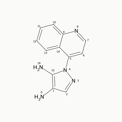 Nc1cnn(-c2ccnc3ccccc23)c1N